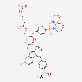 CC1=C(CC(=O)OC(COC(=O)CCCO[N+](=O)[O-])C(=O)Oc2ccc(P(=S)(SN3CCOCC3)N3CCOCC3)cc2)c2cc(F)ccc2/C1=C\c1ccc([S+](C)[O-])cc1